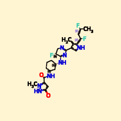 C=c1c(C2=NC[C@@H](F)C(N[C@H]3CCC[C@@H](NC(=O)c4cc(=O)[nH]n4C)C3)=N2)c[nH]/c1=C(F)/C=C(\C)F